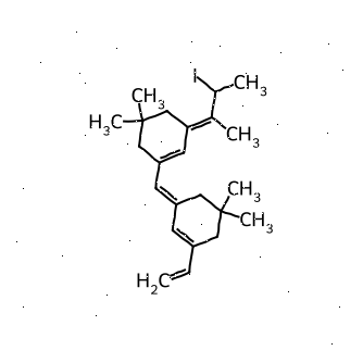 C=CC1=C/C(=C/C2=CC(=C(\C)C(C)I)/CC(C)(C)C2)CC(C)(C)C1